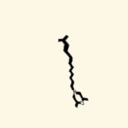 CC(C)CCCCCCCCCCN1CC(C)OC(C)C1